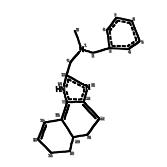 CN(Cc1ccccc1)Cc1nc2c([nH]1)=C1C=CCCC1CC=2